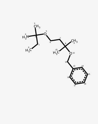 CCC(C)(N)OCCC(C)(C)OCc1ccccc1